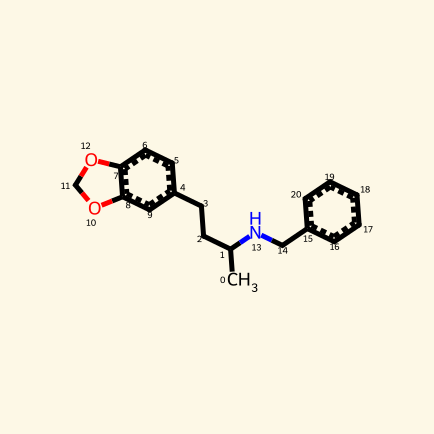 CC(CCc1ccc2c(c1)OCO2)NCc1ccccc1